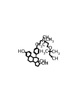 C#CCC(C)(C)OCCC(C)(C)N(C)CCOc1ccc([C@H]2C[C@@]3(C)C(CC[C@@H]3O)C3CCc4cc(O)ccc4C32)cc1